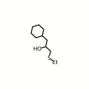 CCSCC(O)CC1CCCCC1